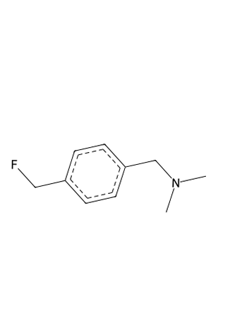 CN(C)Cc1ccc(CF)cc1